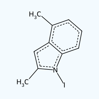 Cc1cccc2c1cc(C)n2I